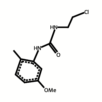 COc1ccc(C)c(NC(=O)NCCCl)c1